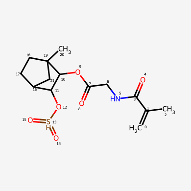 C=C(C)C(=O)NCC(=O)OC1C(O[SH](=O)=O)C2CCC1(C)C2